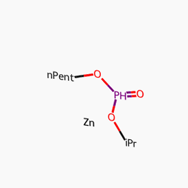 CCCCCO[PH](=O)OC(C)C.[Zn]